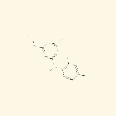 CCN(c1nc(C)cc(COC)n1)c1ccc(C(C)C)cc1Br